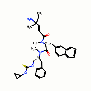 CCC(C)(N)C=CC(=O)N(C)[C@H](Cc1ccc2ccccc2c1)C(=O)N(C)[C@@H](CNC(=S)NC1CC1)Cc1ccccc1